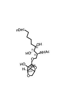 CCCCCCCCCCCCCC[C@@H](O)[C@@H](O)[C@H](CO[C@H]1OC2CO[C@@H](C1O)[C@H]2O)NC(C)=O